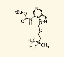 CC(C)(C)OC(=O)Nc1cncc2cnn(COCC[Si](C)(C)C)c12